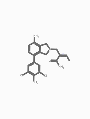 C/C=C(/CN1Cc2c(N)ccc(-c3cc(Cl)c(N)c(Cl)c3)c2C1)C(N)=O